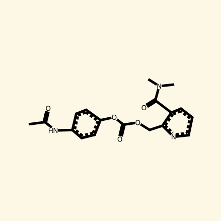 CC(=O)Nc1ccc(OC(=O)OCc2ncccc2C(=O)N(C)C)cc1